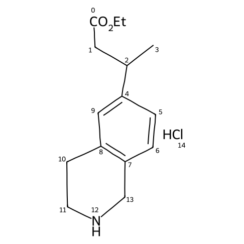 CCOC(=O)CC(C)c1ccc2c(c1)CCNC2.Cl